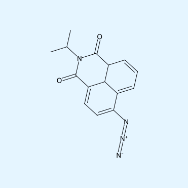 CC(C)N1C(=O)C2=CC=C(N=[N+]=[N-])C3=CC=CC(C1=O)C23